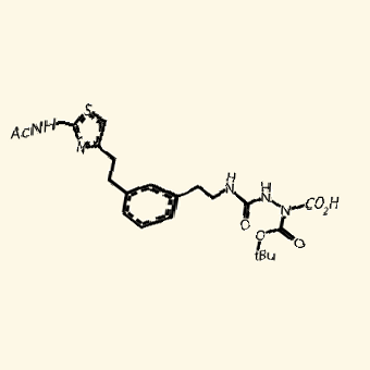 CC(=O)Nc1nc(CCc2cccc(CCNC(=O)NN(C(=O)O)C(=O)OC(C)(C)C)c2)cs1